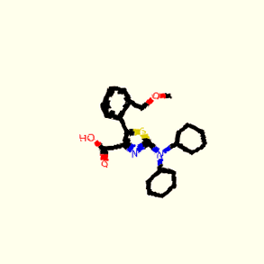 COCc1ccccc1-c1sc(N(C2CCCCC2)C2CCCCC2)nc1C(=O)O